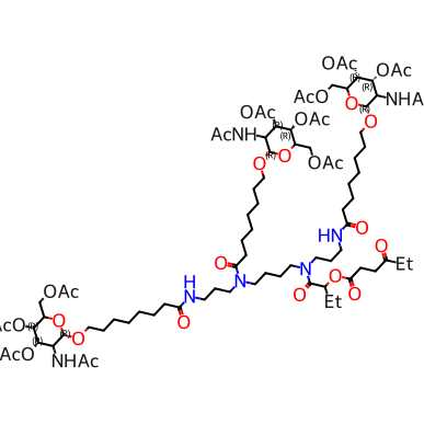 CCC(=O)CCC(=O)OC(CC)C(=O)N(CCCCN(CCCNC(=O)CCCCCCCO[C@@H]1OC(COC(C)=O)[C@H](OC(C)=O)[C@H](OC(C)=O)C1NC(C)=O)C(=O)CCCCCCCO[C@@H]1OC(COC(C)=O)[C@H](OC(C)=O)[C@H](OC(C)=O)C1NC(C)=O)CCCNC(=O)CCCCCCCO[C@@H]1OC(COC(C)=O)[C@H](OC(C)=O)[C@H](OC(C)=O)C1NC(C)=O